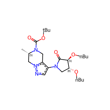 CCCCO[C@@H]1C(=O)N(c2cnn3c2CN(C(=O)OC(C)(C)C)[C@@H](C)C3)C[C@H]1OCCCC